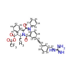 CC(CC(=O)OC(=O)C(F)(F)F)N1C(=O)c2cc(C#Cc3cccc(CNC(=N)N)c3)ccc2N(c2ccccc2)C(=O)C1c1ccccc1